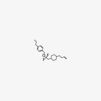 C=CCCC1CCC(CC(F)(F)OCc2ccc(CCC)cc2)CC1